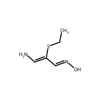 CCSC(=C\N)/C=N/O